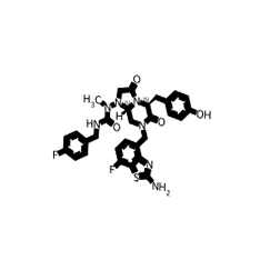 CN(C(=O)NCc1ccc(F)cc1)N1CC(=O)N2[C@@H](Cc3ccc(O)cc3)C(=O)N(Cc3ccc(F)c4sc(N)nc34)C[C@@H]21